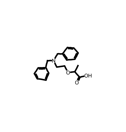 CC(OCCN(Cc1ccccc1)Cc1ccccc1)C(=O)O